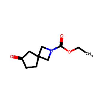 CCOC(=O)N1CC2(CCC(=O)C2)C1